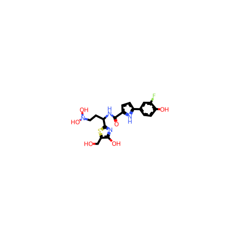 O=C(NC(CCN(O)O)c1nc(O)c(CO)s1)c1ccc(-c2ccc(O)c(F)c2)[nH]1